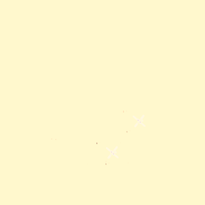 CCC[N+](CCC)(CCC)C(CC)CCCc1ccccc1.CCC[N+](CCC)(CCC)C(CC)CCCc1ccccc1.O=C([O-])CCC(=O)[O-]